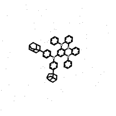 c1ccc(N2c3ccccc3B3c4ccccc4N(c4ccccc4)c4cc(N(c5ccc(C67CC8CC(CC(C8)C6)C7)cc5)c5ccc(C67CC8CC(C6)C(C8)C7)cc5)cc2c43)cc1